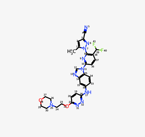 Cc1cc(C#N)nn1-c1nc(-n2cnc3cc(Nc4ccc(OCCN5CCOCC5)nn4)ccc32)ccc1C(F)F